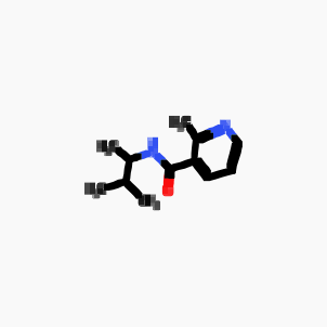 Cc1ncccc1C(=O)NC(C)C(C)C